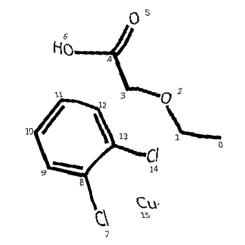 CCOCC(=O)O.Clc1ccccc1Cl.[Cu]